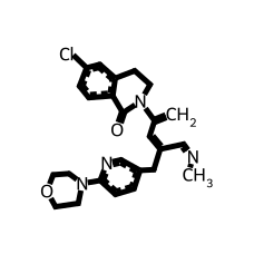 C=C(/C=C(\C=N/C)Cc1ccc(N2CCOCC2)nc1)N1CCc2cc(Cl)ccc2C1=O